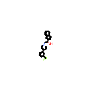 OC(CN1CC=C(c2cccc(C(F)(F)F)c2)CC1)c1ccc2ccccc2c1